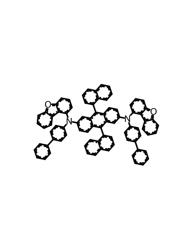 c1ccc(-c2ccc(N(c3ccc4c(-c5cccc6ccccc56)c5cc(N(c6ccc(-c7ccccc7)cc6)c6cccc7oc8ccccc8c67)ccc5c(-c5cccc6ccccc56)c4c3)c3cccc4oc5ccccc5c34)cc2)cc1